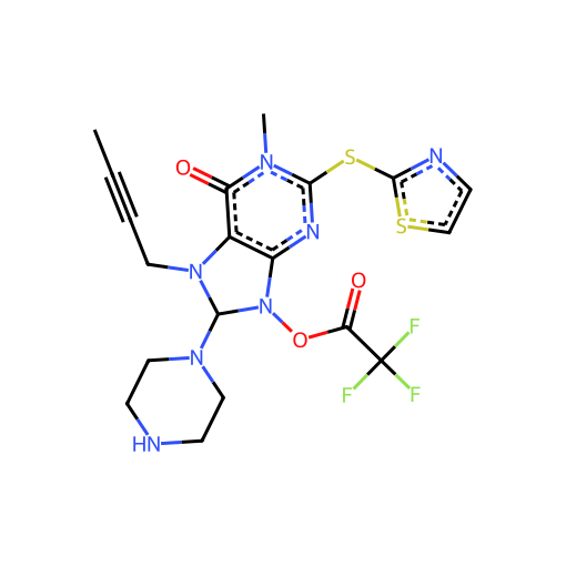 CC#CCN1c2c(nc(Sc3nccs3)n(C)c2=O)N(OC(=O)C(F)(F)F)C1N1CCNCC1